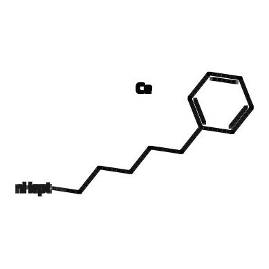 CCCCCCCCCCCCc1ccccc1.[Ce]